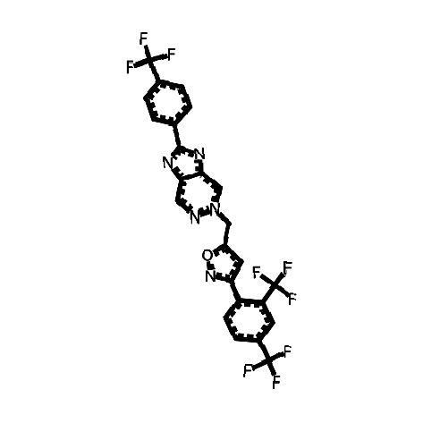 FC(F)(F)c1ccc(-c2nc3cnn(Cc4cc(-c5ccc(C(F)(F)F)cc5C(F)(F)F)no4)cc-3n2)cc1